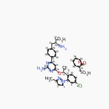 Cc1ccn(-c2cc(Cl)ccc2[C@@H](Oc2cc(-c3ccc(CC(N)C(=O)O)cc3)nc(N)n2)C(F)(F)F)n1.O.O=S(=O)(O)c1ccccc1